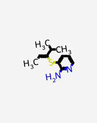 C/C=C(\Sc1cccnc1N)C(C)C